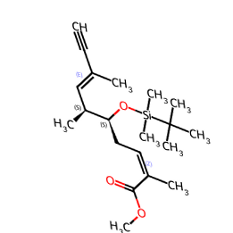 C#C/C(C)=C/[C@H](C)[C@H](C/C=C(/C)C(=O)OC)O[Si](C)(C)C(C)(C)C